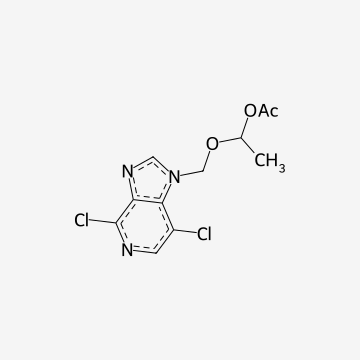 CC(=O)OC(C)OCn1cnc2c(Cl)ncc(Cl)c21